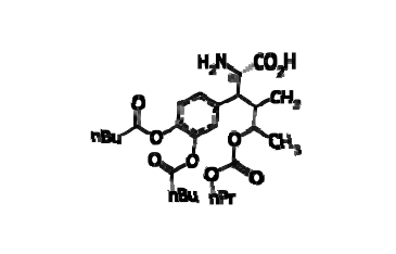 CCCCC(=O)Oc1ccc(C(C(C)C(C)OC(=O)OCCC)[C@H](N)C(=O)O)cc1OC(=O)CCCC